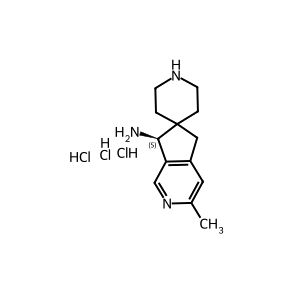 Cc1cc2c(cn1)[C@@H](N)C1(CCNCC1)C2.Cl.Cl.Cl